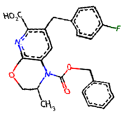 CC1COc2nc(C(=O)O)c(Cc3ccc(F)cc3)cc2N1C(=O)OCc1ccccc1